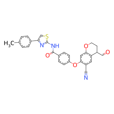 Cc1ccc(-c2csc(NC(=O)c3ccc(Oc4cc5c(cc4C#N)C(C=O)CCO5)cc3)n2)cc1